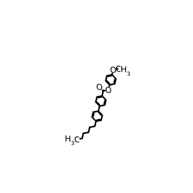 CCCCCCc1ccc(-c2ccc(C(=O)Oc3ccc(OC)cc3)cc2)cc1